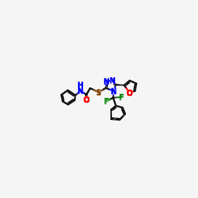 O=C(CSc1nnc(-c2ccco2)n1C(F)(F)c1ccccc1)Nc1ccccc1